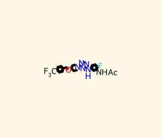 CC(=O)Nc1cc(Nc2ncnc(N3CCC(OCc4ccc(C(F)(F)F)cc4)CC3)n2)ccc1F